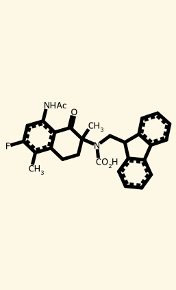 CC(=O)Nc1cc(F)c(C)c2c1C(=O)C(C)(N(CC1c3ccccc3-c3ccccc31)C(=O)O)CC2